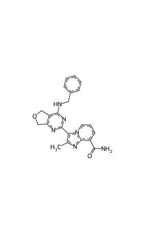 Cc1nc2c(C(N)=O)cccn2c1-c1nc2c(c(NCc3ccccc3)n1)COC2